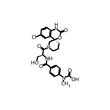 CN(C(=O)O)c1ccc(C(=O)N[C@@H](CO)C(=O)N2CCC[C@@]3(C2)OC(=O)Nc2ccc(Cl)cc23)cc1